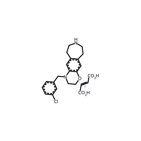 Clc1cccc(CN2CCOc3cc4c(cc32)CCNCC4)c1.O=C(O)/C=C/C(=O)O